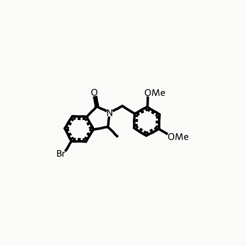 COc1ccc(CN2C(=O)c3ccc(Br)cc3C2C)c(OC)c1